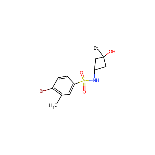 CCC1(O)CC(NS(=O)(=O)c2ccc(Br)c(C)c2)C1